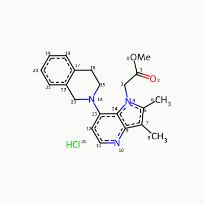 COC(=O)Cn1c(C)c(C)c2nccc(N3CCc4ccccc4C3)c21.Cl